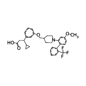 COc1ccc(-c2ccccc2C(F)(F)F)c(N2CCC(COc3cccc(C(CC(=O)O)C4CC4)c3)CC2)c1